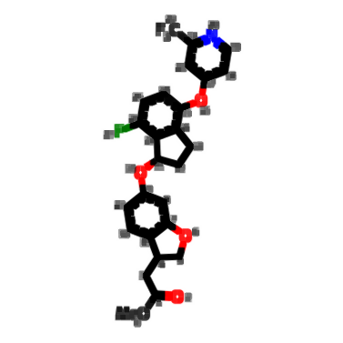 COC(=O)CC1COc2cc(O[C@@H]3CCc4c(Oc5ccnc(C(F)(F)F)c5)ccc(F)c43)ccc21